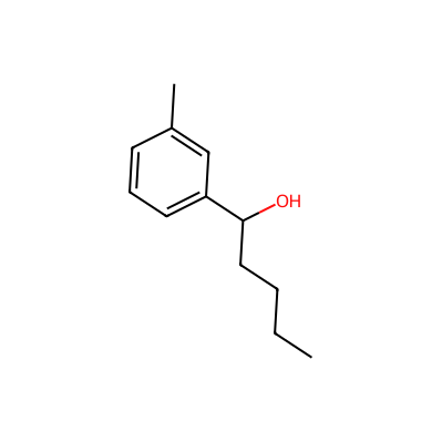 CCCCC(O)c1cccc(C)c1